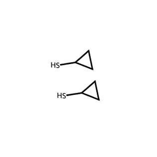 SC1CC1.SC1CC1